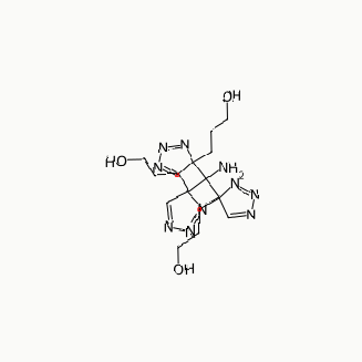 NC(C1(CCCO)C=NN=N1)(C1(CCCO)C=NN=N1)C1(CCCO)C=NN=N1